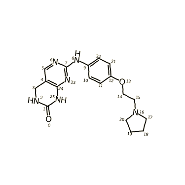 O=C1NCc2cnc(Nc3ccc(OCCN4CCCC4)cc3)nc2N1